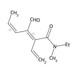 C=C/C(C(=O)N(C)CC)=C(C=O)\C=C/C